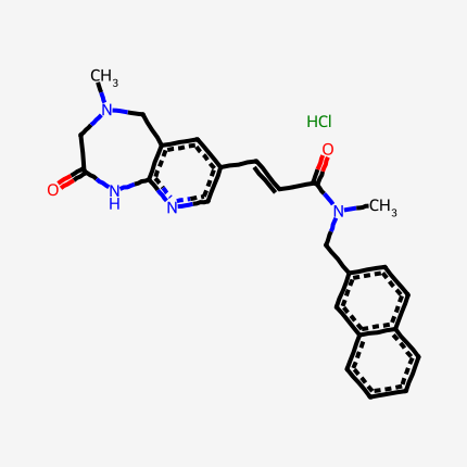 CN1CC(=O)Nc2ncc(C=CC(=O)N(C)Cc3ccc4ccccc4c3)cc2C1.Cl